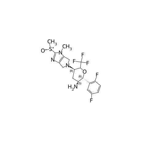 Cn1c([S+](C)[O-])nc2c1CN([C@@H]1C[C@H](N)[C@@H](c3cc(F)ccc3F)OC1C(F)(F)F)C2